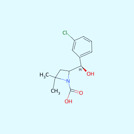 CC1(C)CC([C@H](O)c2cccc(Cl)c2)N1C(=O)O